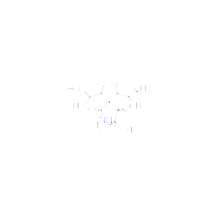 C=C(C)C(=O)C(C(N)=O)(C(=O)C(=C)C)C(=O)C(=C)C